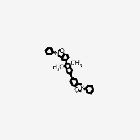 CC1C2CC(c3ccc4c(c3)CN(c3ccccc3)CO4)CC2C(C)C1c1ccc2c(c1)CN(c1ccccc1)CO2